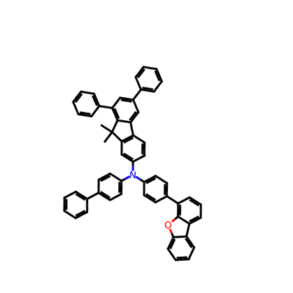 CC1(C)c2cc(N(c3ccc(-c4ccccc4)cc3)c3ccc(-c4cccc5c4oc4ccccc45)cc3)ccc2-c2cc(-c3ccccc3)cc(-c3ccccc3)c21